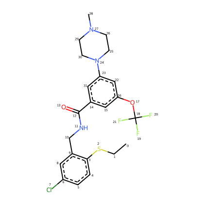 CCSc1ccc(Cl)cc1CNC(=O)c1cc(OC(F)(F)F)cc(N2CCN(C)CC2)c1